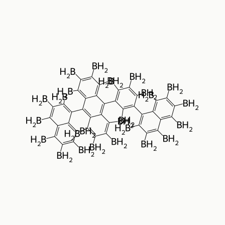 Bc1c(B)c(-c2c(B)c(B)c(B)c3c(B)c(B)c(B)c(B)c23)c(B)c(-c2c3c(B)c(B)c(B)c(B)c3c(-c3c(B)c(B)c(B)c4c(B)c(B)c(B)c(B)c34)c3c(B)c(B)c(B)c(B)c23)c1B